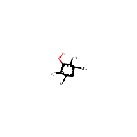 Cc1cc(C)c(C)c(OO)c1C